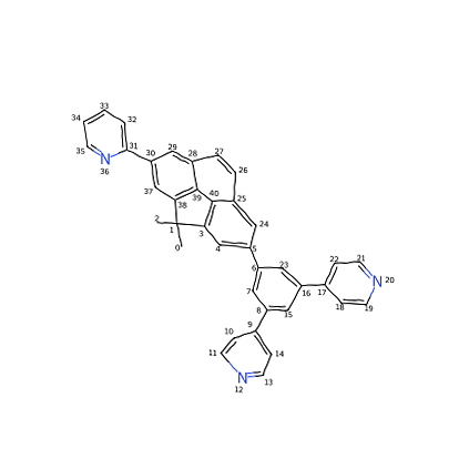 CC1(C)c2cc(-c3cc(-c4ccncc4)cc(-c4ccncc4)c3)cc3ccc4cc(-c5ccccn5)cc1c4c23